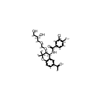 CC(=O)c1ccc2c(c1)[C@H](NC(=O)c1ccc(F)c(Cl)c1)[C@H](OCOC[C@@H](O)CO)C(C)(C)O2